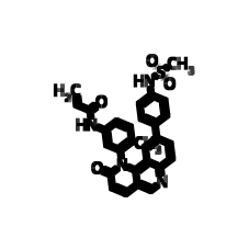 C=CC(=O)Nc1ccc(C)c(-n2c(=O)ccc3cnc4ccc(-c5ccc(NS(C)(=O)=O)cc5)cc4c32)c1